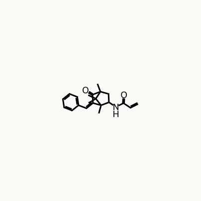 C=CC(=O)NC1CC2(C)C(=O)C(=Cc3ccccc3)C1(C)C2(C)C